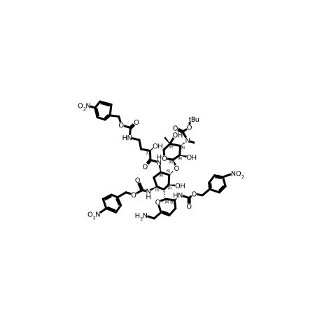 CN(C(=O)OC(C)(C)C)[C@@H]1[C@@H](O)[C@@H](O[C@H]2[C@H](NC(=O)[C@@H](O)CCNC(=O)OCc3ccc([N+](=O)[O-])cc3)C[C@H](NC(=O)OCc3ccc([N+](=O)[O-])cc3)C([C@H]3OC(CN)=CC[C@H]3NC(=O)OCc3ccc([N+](=O)[O-])cc3)[C@@H]2O)OC[C@]1(C)O